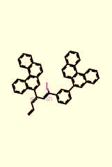 C=C/C=C(\C=C(/I)c1cccc(-c2cc3ccccc3c3c2ccc2ccccc23)c1)c1cc2ccc3ccccc3c2c2ccccc12